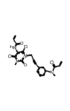 C=CC(=O)Nc1c(Cl)n(CC#Cc2cccc(N(C)C(=O)C=C)c2)c(=O)n(C)c1=O